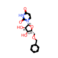 O=c1ccn([C@@H]2O[C@H](COCc3ccccc3)[C@@H](O)[C@H]2O)c(=O)[nH]1